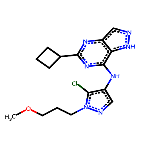 COCCCn1ncc(Nc2nc(C3CCC3)nc3cn[nH]c23)c1Cl